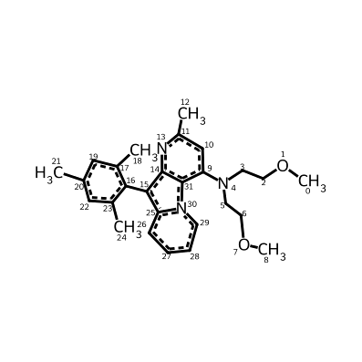 COCCN(CCOC)c1cc(C)nc2c(-c3c(C)cc(C)cc3C)c3ccccn3c12